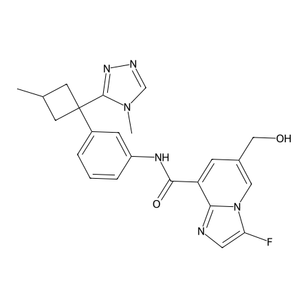 CC1CC(c2cccc(NC(=O)c3cc(CO)cn4c(F)cnc34)c2)(c2nncn2C)C1